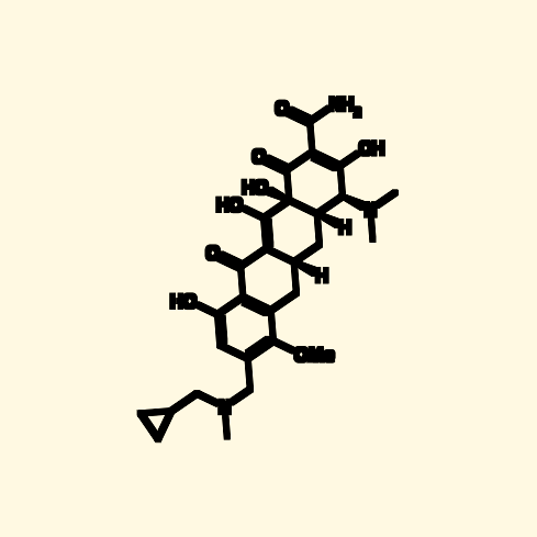 COc1c(CN(C)CC2CC2)cc(O)c2c1C[C@H]1C[C@H]3[C@H](N(C)C)C(O)=C(C(N)=O)C(=O)[C@@]3(O)C(O)=C1C2=O